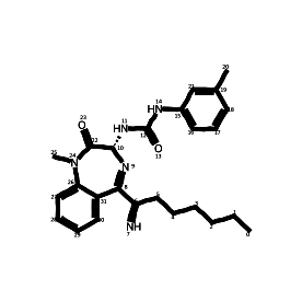 CCCCCCC(=N)C1=N[C@@H](NC(=O)Nc2cccc(C)c2)C(=O)N(C)c2ccccc21